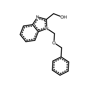 OCc1nc2ccccc2n1COCc1ccccc1